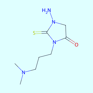 CN(C)CCCN1C(=O)CN(N)C1=S